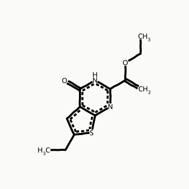 C=C(OCC)c1nc2sc(CC)cc2c(=O)[nH]1